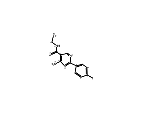 Cc1ccc(-c2ncc(C(=O)NCC(C)C)c(N)n2)cc1